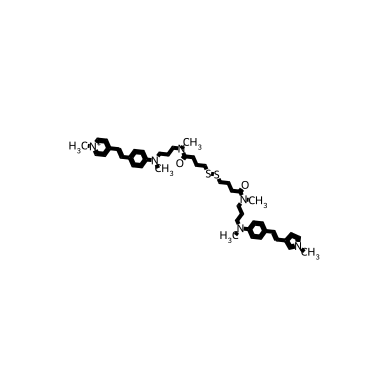 CN(CCCN(C)c1ccc(/C=C/c2cc[n+](C)cc2)cc1)C(=O)CCCSSCCCC(=O)N(C)CCCN(C)c1ccc(/C=C/c2ccn(C)c2)cc1